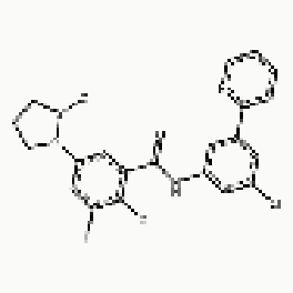 O=C(Nc1cc(Cl)cc(-c2ccccn2)c1)c1cc(N2CCC[S+]2[O-])cc(F)c1Cl